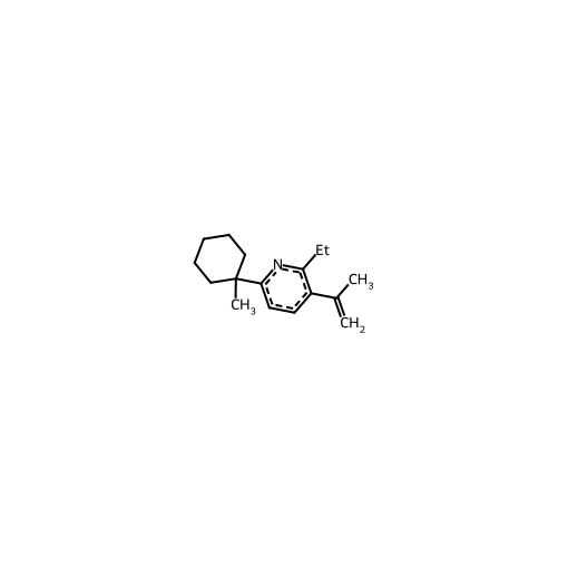 C=C(C)c1ccc(C2(C)CCCCC2)nc1CC